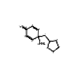 NC1(CC2CCCC2)C=CC(=O)C=C1